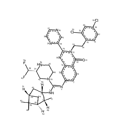 C[C@H]1[C@@H](NC(=Nc2ccc3c(=O)n(CCc4ccc(Cl)cc4Cl)c(-c4cnccn4)nc3c2)N2CCN[C@@H](C(F)F)C2)C[C@@H]2C[C@@H]1C2(C)C